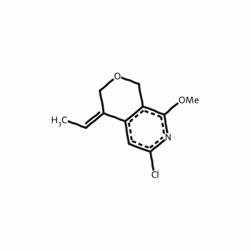 CC=C1COCc2c1cc(Cl)nc2OC